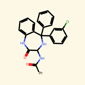 CC(C)C(=O)NC1NC(c2ccccc2)(c2cccc(Cl)c2)c2ccccc2NC1=O